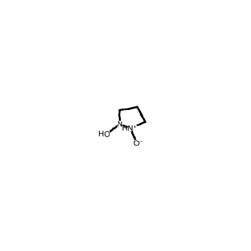 [O-][NH+]1CCCN1O